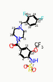 O=C(c1ccc(N[SH](=O)=O)c(OC(F)(F)F)c1)N1CCN(Cc2ccc(F)cc2F)CC1